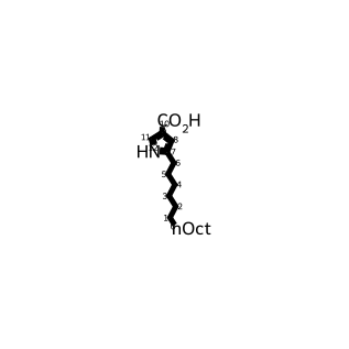 CCCCCCCCCCCCCCc1cc(C(=O)O)c[nH]1